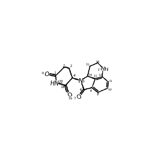 O=C1CCC(N2C(=O)c3cccc4c3C2CCN4)C(=O)N1